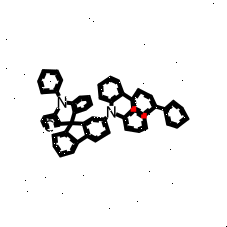 c1ccc(-c2ccc(-c3ccccc3N(c3ccccc3)c3ccc4c(c3)C3(c5ccccc5-4)c4ccccc4N(c4ccccc4)c4ccccc43)cc2)cc1